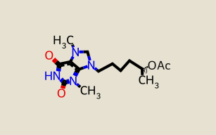 CC(=O)O[C@H](C)CCCCN1CN(C)c2c1n(C)c(=O)[nH]c2=O